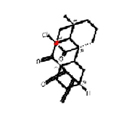 C=C1C(=O)[C@]23CC[C@H]1CC2[C@@]12CCC[C@@](C)(COC1=O)C2[C@H](Cl)C3=O